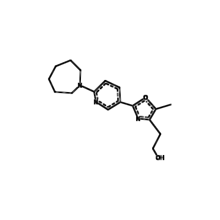 Cc1oc(-c2ccc(N3CCCCCC3)nc2)nc1CCO